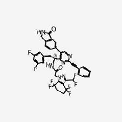 O=C(Cn1nc(C(F)F)c2c1C(F)(F)CCC2(F)F)N[C@@H](Cc1cc(F)cc(F)c1)c1nc(C#Cc2ccccc2)ncc1-c1ccc2c(c1)C(=O)NC2